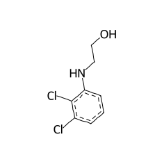 OCCNc1cccc(Cl)c1Cl